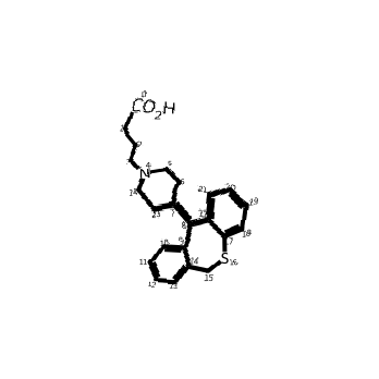 O=C(O)CCCN1CCC(=C2c3ccccc3CSc3ccccc32)CC1